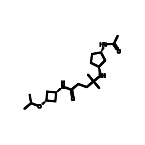 CC(=O)N[C@H]1CC[C@H](NC(C)(C)CCC(=O)N[C@H]2C[C@@H](OC(C)C)C2)C1